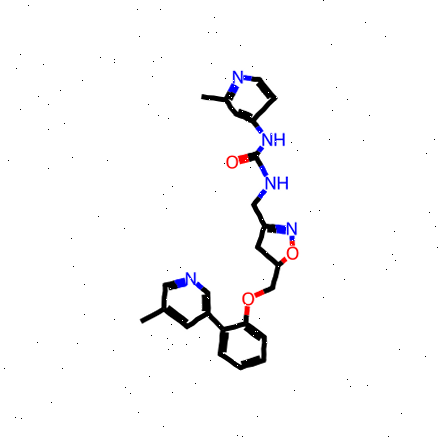 Cc1cncc(-c2ccccc2OCC2CC(CNC(=O)Nc3ccnc(C)c3)=NO2)c1